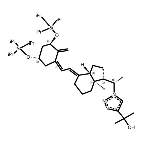 C=C1/C(=C\C=C2CCC[C@]3(C)[C@@H]([C@H](C)n4cc(C(C)(C)O)nn4)CC[C@@H]23)C[C@H](O[Si](C(C)C)(C(C)C)C(C)C)C[C@H]1O[Si](C(C)C)(C(C)C)C(C)C